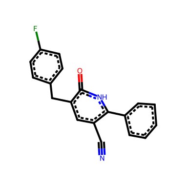 N#Cc1cc(Cc2ccc(F)cc2)c(=O)[nH]c1-c1ccccc1